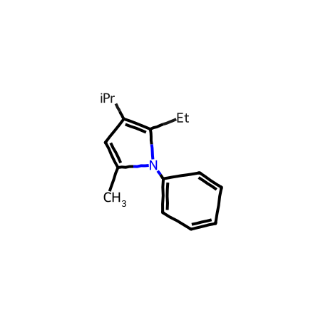 CCc1c(C(C)C)cc(C)n1-c1ccccc1